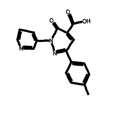 Cc1ccc(-c2cc(C(=O)O)c(=O)n(-c3cccnc3)n2)cc1